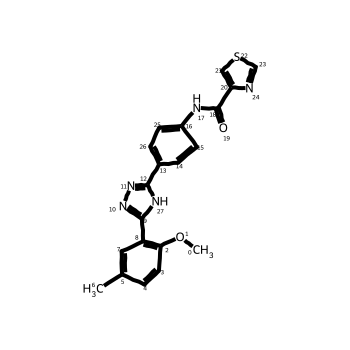 COc1ccc(C)cc1-c1nnc(-c2ccc(NC(=O)c3cscn3)cc2)[nH]1